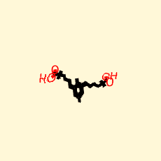 Cc1cc(CCCCC(C)(C)C(=O)O)c(C)c(CCCCC(C)(C)C(=O)O)c1